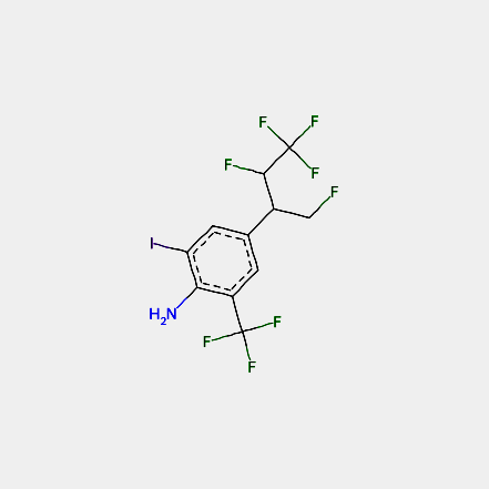 Nc1c(I)cc(C(CF)C(F)C(F)(F)F)cc1C(F)(F)F